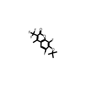 Cc1c(C(F)(F)F)c(=O)oc2c(F)c(OC(C)(C)C)c(F)cc12